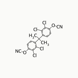 CC(C)(c1ccc(OC#N)c(Cl)c1Cl)c1ccc(OC#N)c(Cl)c1Cl